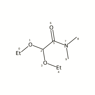 CCOC(OCC)C(=O)N(C)C